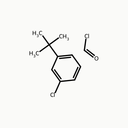 CC(C)(C)c1cccc(Cl)c1.O=CCl